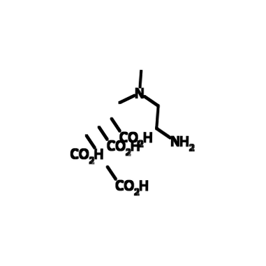 CC(=O)O.CC(=O)O.CC(=O)O.CC(=O)O.CN(C)CCN